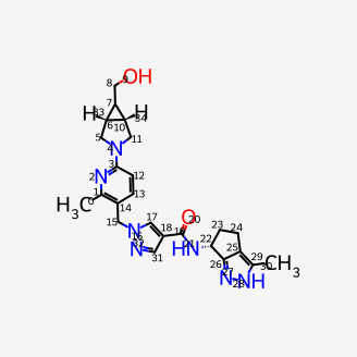 Cc1nc(N2C[C@@H]3C(CO)[C@@H]3C2)ccc1Cn1cc(C(=O)N[C@@H]2CCc3c2n[nH]c3C)cn1